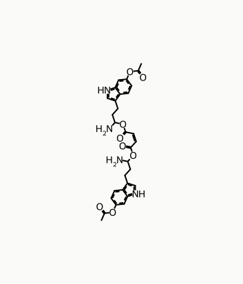 CC(=O)Oc1ccc2c(CCC(N)OC(=O)/C=C\C(=O)OC(N)CCc3c[nH]c4cc(OC(C)=O)ccc34)c[nH]c2c1